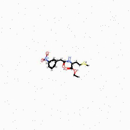 CCOC(=O)C(CCSC)NC(=O)Cc1cccc([N+](=O)[O-])c1